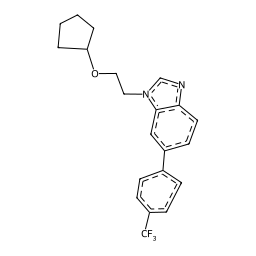 FC(F)(F)c1ccc(-c2ccc3ncn(CCOC4CCCC4)c3c2)cc1